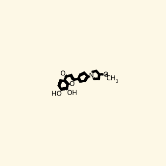 COC1CCN(c2ccc(-c3cc(=O)c4ccc(O)c(O)c4o3)cc2)CC1